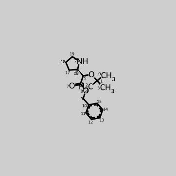 CC(C)(C)OC(C(=O)OCc1ccccc1)[C@H]1CCCN1